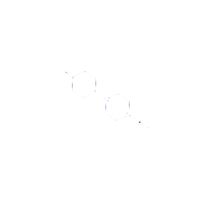 C[C@H]1CC[C@H](N2CCN(C(F)(F)F)CC2)CC1